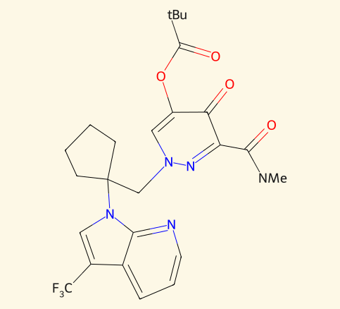 CNC(=O)c1nn(CC2(n3cc(C(F)(F)F)c4cccnc43)CCCC2)cc(OC(=O)C(C)(C)C)c1=O